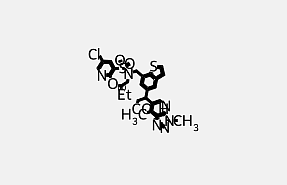 CC[C@@H]1CN(Cc2cc(C(CC(=O)O)c3cnc4c(nnn4C)c3C)cc3ccsc23)S(=O)(=O)c2cc(Cl)cnc2O1